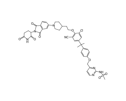 CC(C)(c1ccc(OCc2ccnc(NS(C)(=O)=O)n2)cc1)c1cc(Cl)c(OCCC2CCN(c3ccc4c(c3)C(=O)N(C3CCC(=O)NC3=O)C4=O)CC2)c(C#N)c1